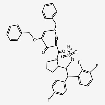 CS(=O)(=O)OC(C(c1ccc(F)cc1)c1cccc(F)c1F)C1CCCN1C(=O)c1nn(Cc2ccccc2)cc(OCc2ccccc2)c1=O